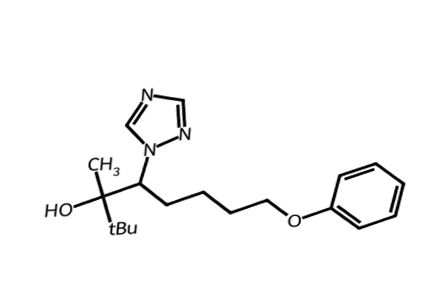 CC(C)(C)C(C)(O)C(CCCCOc1ccccc1)n1cncn1